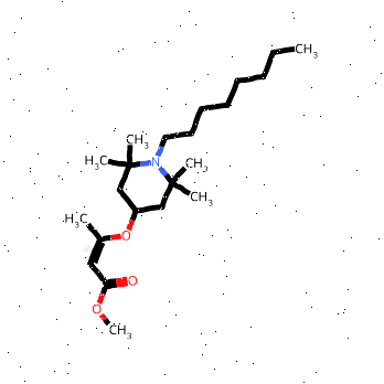 CCCCCCCCN1C(C)(C)CC(O/C(C)=C\C(=O)OC)CC1(C)C